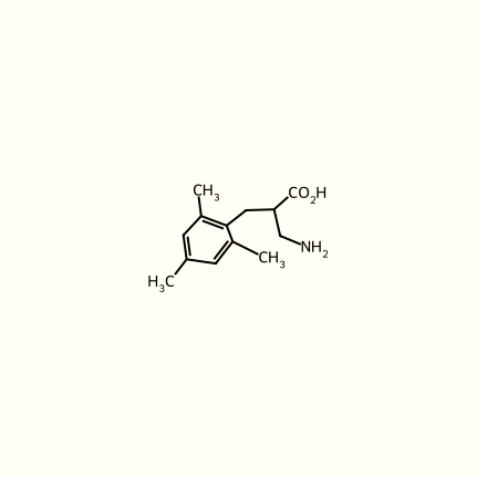 Cc1cc(C)c(CC(CN)C(=O)O)c(C)c1